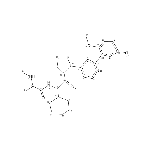 CNC(C)C(=O)NC(C(=O)N1CCCC1c1ccnc(-c2cc(Cl)ccc2OC)c1)C1CCCCC1